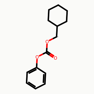 O=C(O[CH]C1CCCCC1)Oc1ccccc1